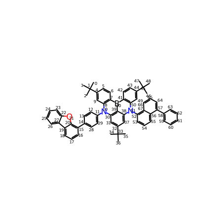 CC(C)(C)c1ccc2c(c1)N(c1ccc(-c3cccc4c3oc3ccccc34)cc1)c1cc(C(C)(C)C)cc3c1B2c1ccc(C(C)(C)C)cc1N3c1cccc2c(-c3ccccc3)cccc12